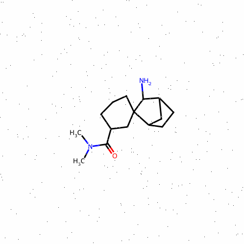 CN(C)C(=O)C1CCCC2(C1)C1CCC(C1)C2N